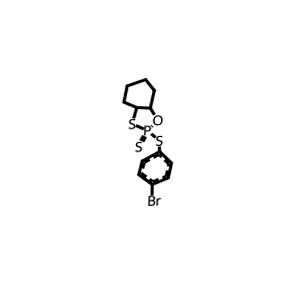 S=P1(Sc2ccc(Br)cc2)OC2CCCCC2S1